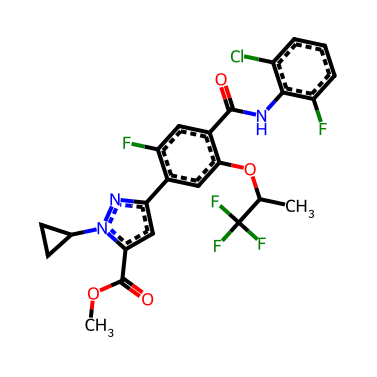 COC(=O)c1cc(-c2cc(OC(C)C(F)(F)F)c(C(=O)Nc3c(F)cccc3Cl)cc2F)nn1C1CC1